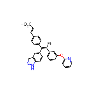 CCC(=C(c1ccc(C=CC(=O)O)cc1)c1ccc2[nH]ncc2c1)c1cccc(Oc2ccccn2)c1